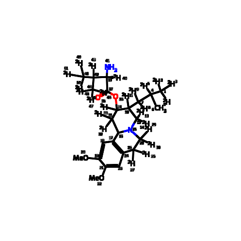 [2H]C([2H])([2H])C([2H])(C)C([2H])([2H])C1([2H])C([2H])([2H])N2C(c3cc(OC)c(OC)cc3C([2H])([2H])C2([2H])[2H])C([2H])([2H])C1([2H])OC(=O)[C@@]([2H])(N)C([2H])(C([2H])([2H])[2H])C([2H])([2H])[2H]